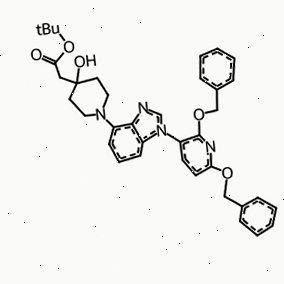 CC(C)(C)OC(=O)CC1(O)CCN(c2cccc3c2ncn3-c2ccc(OCc3ccccc3)nc2OCc2ccccc2)CC1